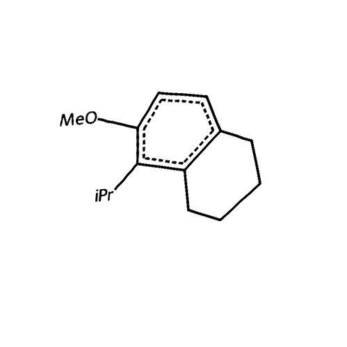 COc1ccc2c(c1C(C)C)CCCC2